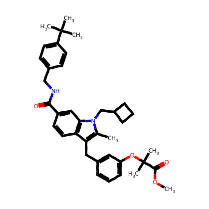 COC(=O)C(C)(C)Oc1cccc(Cc2c(C)n(CC3CCC3)c3cc(C(=O)NCc4ccc(C(C)(C)C)cc4)ccc23)c1